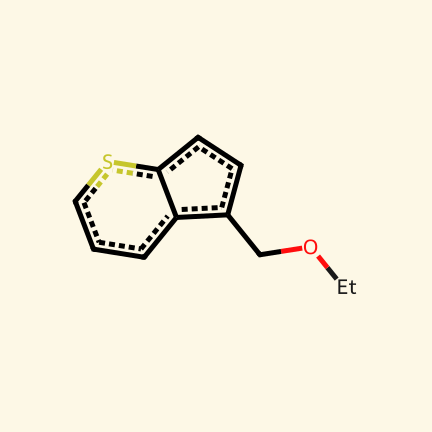 [CH2]COCc1ccc2scccc1-2